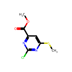 COC(=O)c1cc(SC)nc(Cl)n1